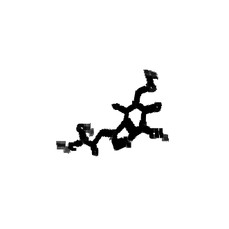 CCOCn1c(=O)c2c(ncn2CC(=O)N(C)C)n(C)c1=O